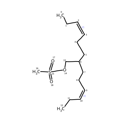 CC/C=C\CCC(CC/C=C\CC)COS(C)(=O)=O